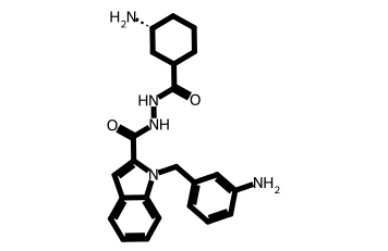 Nc1cccc(Cn2c(C(=O)NNC(=O)C3CCC[C@@H](N)C3)cc3ccccc32)c1